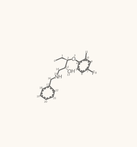 CC[C@@H](Oc1ccc(F)cc1C)[C@H](O)CNCc1ccccc1